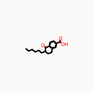 CCCCCCC1CCc2cc(C(=O)O)ccc2C1=O